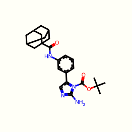 CC(C)(C)OC(=O)n1c(-c2cccc(NC(=O)C34CC5CC(CC(C5)C3)C4)c2)cnc1N